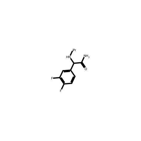 CC(C)NC(C(N)=O)c1ccc(F)c(F)c1